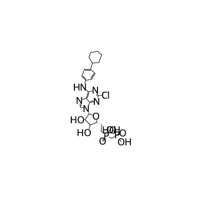 O=P(O)(O)CP(=O)(O)CC[C@H]1O[C@@H](n2cnc3c(Nc4ccc(C5CCCCC5)cc4)nc(Cl)nc32)C(O)C1O